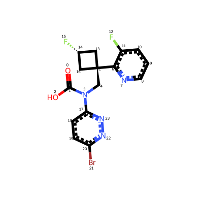 O=C(O)N(C[C@]1(c2ncccc2F)C[C@@H](F)C1)c1ccc(Br)nn1